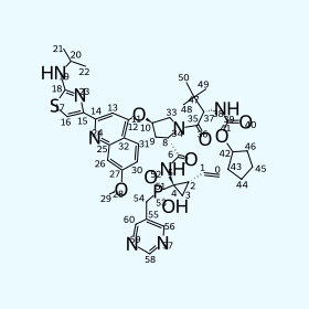 C=C[C@@H]1C[C@]1(NC(=O)[C@@H]1C[C@@H](Oc2cc(-c3csc(NC(C)C)n3)nc3cc(OC)ccc23)CN1C(=O)[C@@H](NC(=O)OC1CCCC1)C(C)(C)C)P(=O)(O)Cc1cncnc1